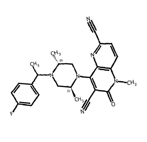 CC(c1ccc(F)cc1)N1C[C@H](C)N(c2c(C#N)c(=O)n(C)c3ccc(C#N)nc23)C[C@H]1C